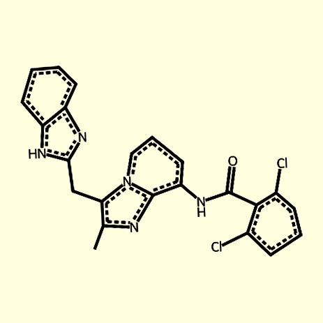 Cc1nc2c(NC(=O)c3c(Cl)cccc3Cl)cccn2c1Cc1nc2ccccc2[nH]1